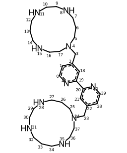 c1cc(CN2CCCNCCNCCCNCC2)cc(-c2cc(CN3CCCNCCNCCCNCC3)ccn2)n1